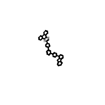 c1cc(-c2ccc(-c3cnc4c5ccccc5c5ccccc5c4n3)cc2)cc(-c2ccc(-c3cccc4c3Cc3ccccc3-4)cc2)c1